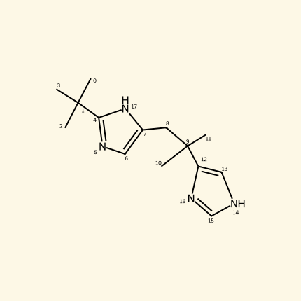 CC(C)(C)c1ncc(CC(C)(C)c2c[nH]cn2)[nH]1